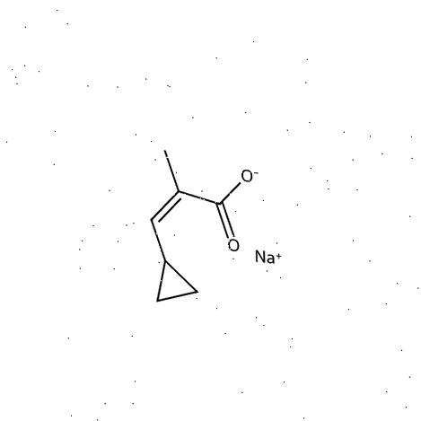 CC(=CC1CC1)C(=O)[O-].[Na+]